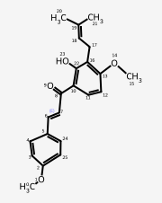 COc1ccc(/C=C/C(=O)c2ccc(OC)c(CC=C(C)C)c2O)cc1